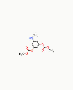 CNc1cc(OC(=O)OC)cc(OC(=O)OC)c1